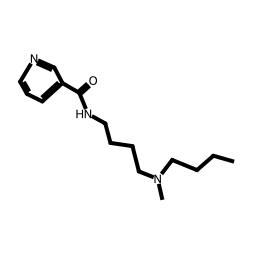 CCCCN(C)CCCCNC(=O)c1cccnc1